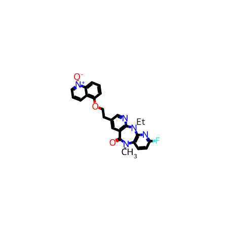 CCN1c2ncc(CCOc3cccc4c3ccc[n+]4[O-])cc2C(=O)N(C)c2ccc(F)nc21